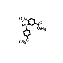 CCCCOc1ccc(Nc2cc(C(=O)OC)ccc2[N+](=O)[O-])cc1